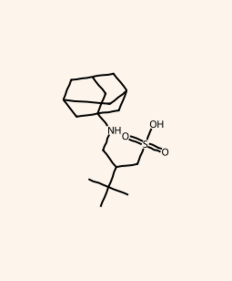 CC(C)(C)C(CNC12CC3CC(CC(C3)C1)C2)CS(=O)(=O)O